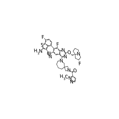 Cn1nccc1C(=O)N1CC2(CCCCN(c3nc(OC[C@@]45CCCN4C[C@H](F)C5)nc4c(F)c(-c5ccc(F)c6sc(N)c(C#N)c56)c(Cl)cc34)C2)C1